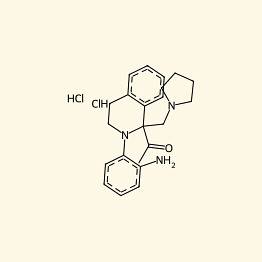 CC(=O)C1(CN2CCCC2)c2ccccc2CCN1c1ccccc1N.Cl.Cl